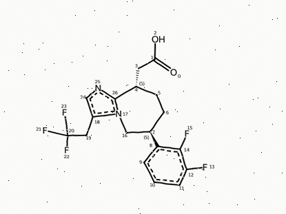 O=C(O)C[C@@H]1CC[C@@H](c2cccc(F)c2F)Cn2c(CC(F)(F)F)cnc21